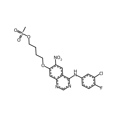 CS(=O)(=O)OCCCCOc1cc2ncnc(Nc3ccc(F)c(Cl)c3)c2cc1[N+](=O)[O-]